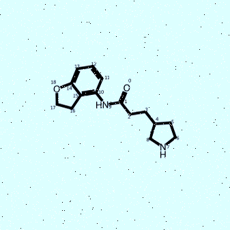 O=C(CCC1CCNC1)Nc1cccc2c1CCO2